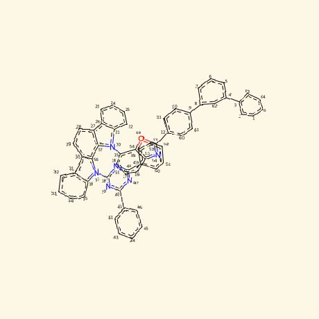 c1ccc(-c2cccc(-c3ccc(-c4nc5cccc(-n6c7ccccc7c7ccc8c9ccccc9n(-c9nc(-c%10ccccc%10)nc(-c%10ccccc%10)n9)c8c76)c5o4)cc3)c2)cc1